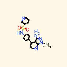 Cn1nc(N)c2c(-c3ccc(NS(=O)(=O)c4cccnc4)cc3)ccnc21